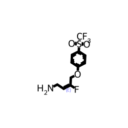 NC/C=C(/F)COc1ccc(S(=O)(=O)C(F)(F)F)cc1